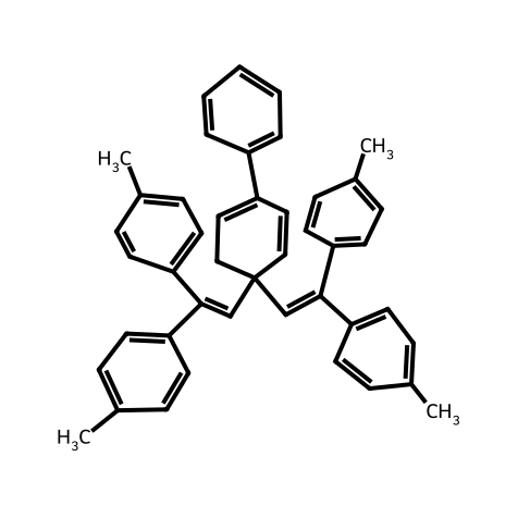 Cc1ccc(C(=CC2(C=C(c3ccc(C)cc3)c3ccc(C)cc3)C=CC(c3ccccc3)=CC2)c2ccc(C)cc2)cc1